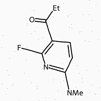 CCC(=O)c1ccc(NC)nc1F